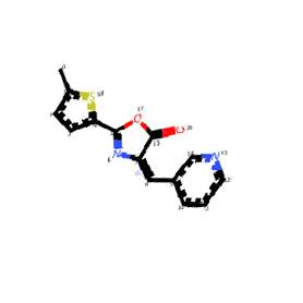 Cc1ccc(C2=N/C(=C/c3cccnc3)C(=O)O2)s1